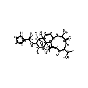 C/C1=C\[C@@H](C)C(C(C)O)OC(=O)C(O)CC2C=C[C@H]3[C@H]4O[C@@]12[C@@H]3[C@H](O)[C@@H](C)[C@H]4OC(=O)c1ccc[nH]1